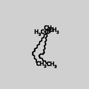 CCCCC/C=C\C=C\CCCCCCCCC1(CCCCCCCC/C=C\C/C=C\CCCCC)CN(C)C(C)C1C